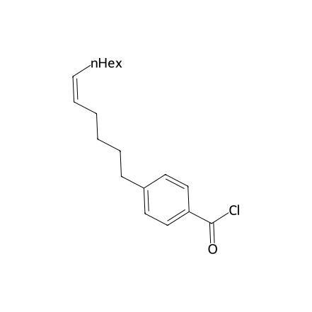 CCCCCC/C=C\CCCCc1ccc(C(=O)Cl)cc1